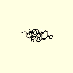 CC[C@H]1CC[C@H]2[C@@H]3CCC4=CC(=O)CC[C@]4(C)[C@@]3(O)CC[C@]12C